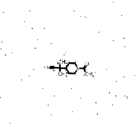 CC(=O)N1CCC(C(C)(C)C#N)CC1